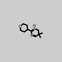 CC1(C)C=BC(C2CCOCC2)=[SH]C1